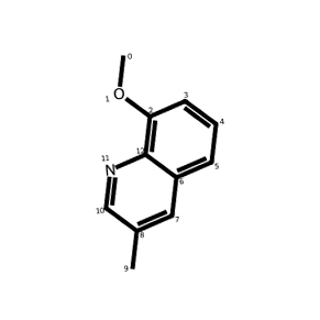 COc1cccc2cc(C)cnc12